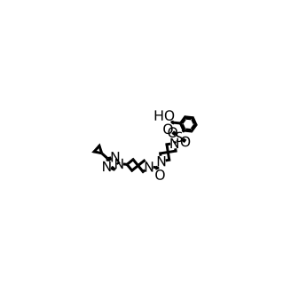 O=C(O)c1ccccc1S(=O)(=O)N1CC2(CN(C(=O)N3CC4(CC(n5cnc(C6CC6)n5)C4)C3)C2)C1